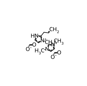 C=CCc1[nH]cc[n+]1C.Cn1cc[n+](C)c1.O=C[O-].O=C[O-]